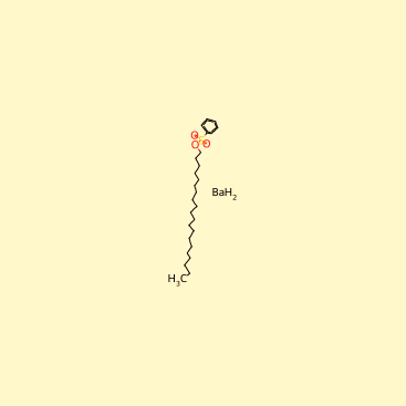 CCCCCCCCCCCCCCCCCCCCOS(=O)(=O)c1ccccc1.[BaH2]